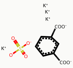 O=C([O-])c1cccc(C(=O)[O-])c1.O=S(=O)([O-])[O-].[K+].[K+].[K+].[K+]